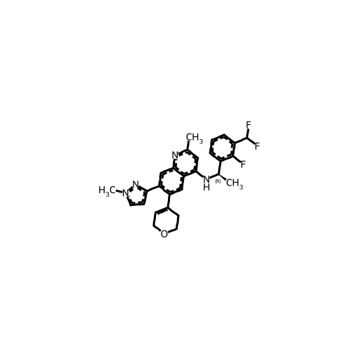 Cc1cc(N[C@H](C)c2cccc(C(F)F)c2F)c2cc(C3=CCOCC3)c(-c3ccn(C)n3)cc2n1